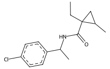 CCC1(C(=O)NC(C)c2ccc(Cl)cc2)CC1C